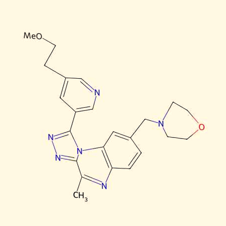 COCCc1cncc(-c2nnc3c(C)nc4ccc(CN5CCOCC5)cc4n23)c1